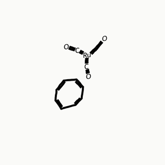 C1=CC=CC=CC=C1.O=[C]=[Ru](=[C]=O)=[C]=O